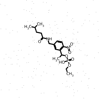 CCOP(=O)(O)OC(C)c1cc(CNC(=O)CCC(C)C)ccc1[N+](=O)[O-]